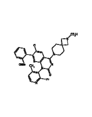 COc1ccccc1-c1nc2c(cc1Cl)c(N1CCC3(CC1)CN(C(=O)O)C3)nc(=O)n2-c1c(C)ccnc1C(C)C